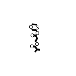 C=C(C)C(=O)OCCC(=O)OC1COCCS1